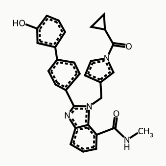 CNC(=O)c1cccc2nc(-c3ccc(-c4cccc(O)c4)cc3)n(Cc3ccn(C(=O)C4CC4)c3)c12